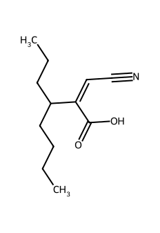 CCCCC(CCC)C(=CC#N)C(=O)O